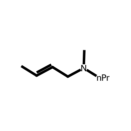 CC=CCN(C)CCC